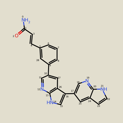 NC(=O)C=Cc1cccc(-c2cnc3[nH]cc(-c4cnc5[nH]ccc5c4)c3c2)c1